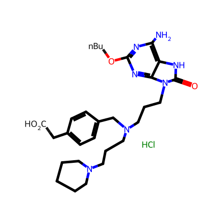 CCCCOc1nc(N)c2[nH]c(=O)n(CCCN(CCCN3CCCCC3)Cc3ccc(CC(=O)O)cc3)c2n1.Cl